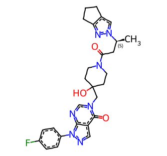 C[C@@H](CC(=O)N1CCC(O)(Cn2cnc3c(cnn3-c3ccc(F)cc3)c2=O)CC1)n1cc2c(n1)CCC2